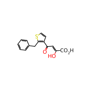 O=C(O)C(O)=CC(=O)c1ccsc1Cc1ccccc1